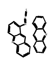 S=C=Nc1cccc2nc3ccccc3cc12.c1ccc2nc3ccccc3cc2c1